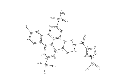 NS(=O)(=O)c1ccc(-c2c(-c3ccc(F)cc3)nc(C(F)(F)F)nc2N2CCN(C(=O)c3ccc([N+](=O)[O-])o3)CC2)cc1